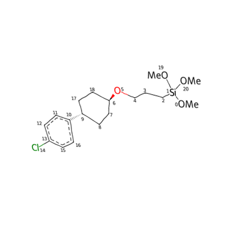 CO[Si](CCCO[C@H]1CC[C@H](c2ccc(Cl)cc2)CC1)(OC)OC